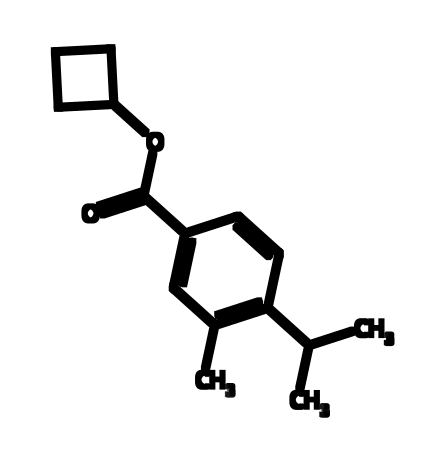 Cc1cc(C(=O)OC2CCC2)ccc1C(C)C